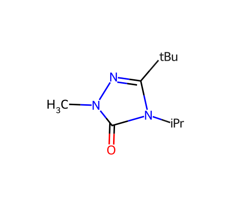 CC(C)n1c(C(C)(C)C)nn(C)c1=O